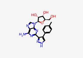 Cc1ccc(-c2c[nH]nc2-c2nc(N)c3ncn([C@@H]4O[C@H](CO)[C@@H](O)[C@H]4O)c3n2)cc1